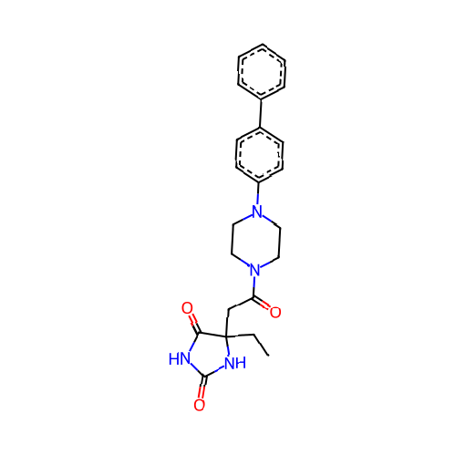 CCC1(CC(=O)N2CCN(c3ccc(-c4ccccc4)cc3)CC2)NC(=O)NC1=O